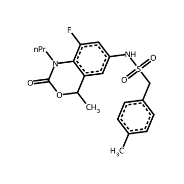 CCCN1C(=O)OC(C)c2cc(NS(=O)(=O)Cc3ccc(C)cc3)cc(F)c21